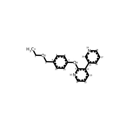 CCOCc1ccc(Oc2ncccc2-c2cccnc2)cc1